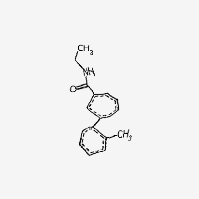 CCNC(=O)c1cccc(-c2ccccc2C)c1